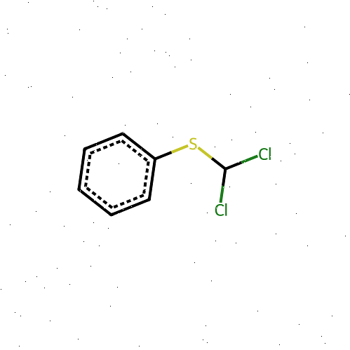 ClC(Cl)Sc1ccccc1